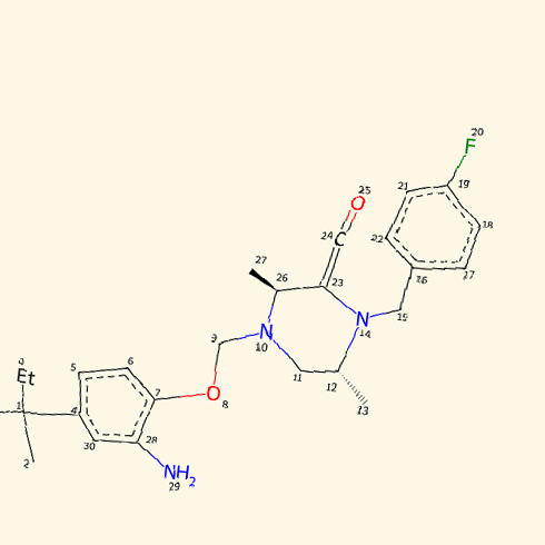 CCC(C)(C)c1ccc(OCN2C[C@@H](C)N(Cc3ccc(F)cc3)C(=C=O)[C@@H]2C)c(N)c1